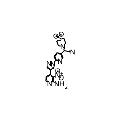 N#CC(c1ccc(-n2cc(-c3ccnc(N)c3[N+](=O)[O-])cn2)nc1)N1CCS(=O)(=O)CC1